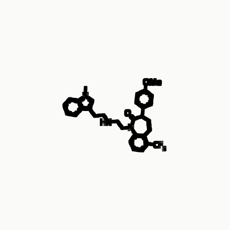 COc1ccc(C2C=Cc3c(cccc3C(F)(F)F)N(CCNCCc3cn(C)c4ccccc34)C2=O)cc1